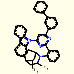 CC1CC2CCC1CC(C)N2c1ccccc1-c1nc(-c2cccc(-c3ccccc3)c2)cc(-n2c3ccccc3c3ccccc32)n1